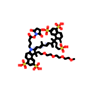 C=C(/C=C/C(C)=C/C=C1/N(CCCC(=O)ON2C(=O)CCC2=O)c2ccc3c(S(=O)(=O)O)cc(S(=O)(=O)O)cc3c2C1(C)CCOCCOCCOCCOC)C(C)(CCCS(=O)(=O)O)c1c(C)ccc2c(S(=O)(=O)O)cc(S(=O)(=O)O)cc12